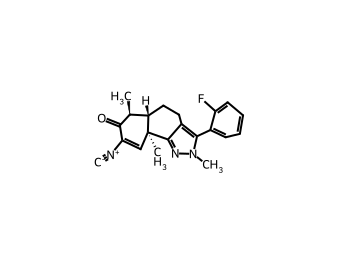 [C-]#[N+]C1=C[C@]2(C)c3nn(C)c(-c4ccccc4F)c3CC[C@H]2[C@H](C)C1=O